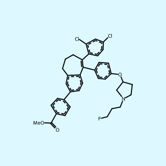 COC(=O)c1ccc(-c2ccc3c(c2)CCCC(c2ccc(Cl)cc2Cl)=C3c2ccc(OC3CCN(CCCF)C3)cc2)cc1